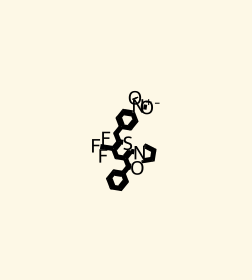 O=C(C1=C(N2CCCC2)SC(Cc2ccc([N+](=O)[O-])cc2)=C(C(F)(F)F)C1)c1ccccc1